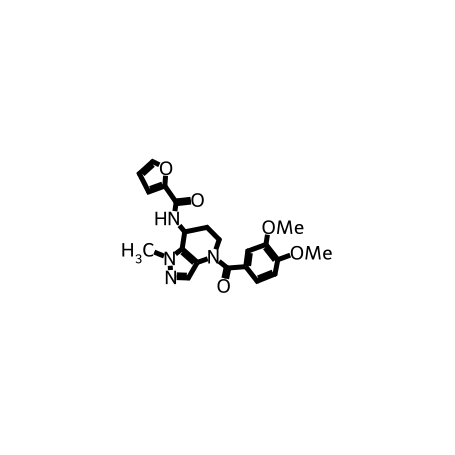 COc1ccc(C(=O)N2CCC(NC(=O)c3ccco3)c3c2cnn3C)cc1OC